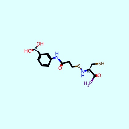 O=C(CCSN[C@@H](CS)C(=O)P)Nc1cccc(B(O)O)c1